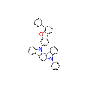 c1ccc(-c2cccc3c2oc2cc(-n4c5ccccc5c5ccc6c(c7ccccc7n6-c6ccccc6)c54)ccc23)cc1